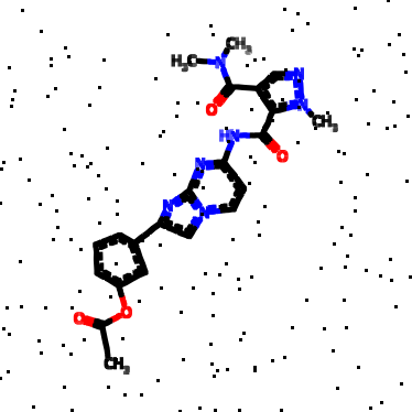 CC(=O)Oc1cccc(-c2cn3ccc(NC(=O)c4c(C(=O)N(C)C)cnn4C)nc3n2)c1